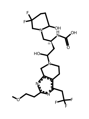 COCCc1nc2c(c(CC(F)(F)F)n1)CCN(C(O)C[C@@H](CN1CC(F)(F)CCC1O)NC(=O)O)C2